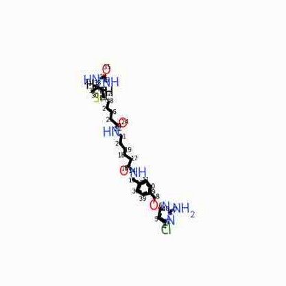 Nc1nc(Cl)cc(OCc2ccc(CNC(=O)CCCCCNC(=O)CCCC[C@@H]3SC[C@@H]4NC(=O)N[C@@H]43)cc2)n1